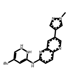 CCC(C)C1=CNNC(Nc2ccc3ncc(-c4cnn(C)c4)cc3n2)=C1